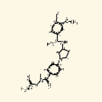 COc1cc([C@@H](C)N[C@H]2CC[C@@H](c3ccc(C(=O)NCC(N)=O)cc3)C2)ccc1F